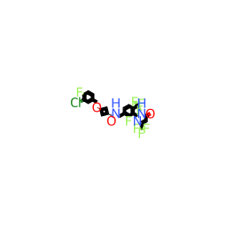 O=c1cc(C(F)(F)F)nc(-c2c(C(F)(F)F)ccc(CNC(=O)[C@H]3C[C@@H](OCc4ccc(F)c(Cl)c4)C3)c2F)[nH]1